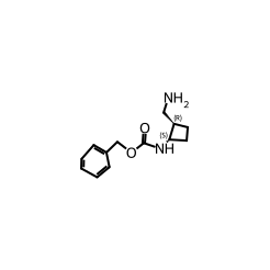 NC[C@H]1CC[C@@H]1NC(=O)OCc1ccccc1